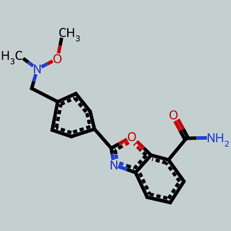 CON(C)Cc1ccc(-c2nc3cccc(C(N)=O)c3o2)cc1